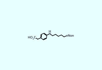 CCCCCCCCCCCCCCNc1ccc(CC(=O)O)cc1